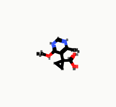 COc1ncnc(C)c1C1(C(=O)O)CC1